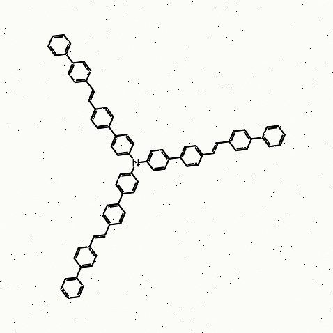 C(=C\c1ccc(-c2ccc(N(c3ccc(-c4ccc(/C=C/c5ccc(-c6ccccc6)cc5)cc4)cc3)c3ccc(-c4ccc(/C=C/c5ccc(-c6ccccc6)cc5)cc4)cc3)cc2)cc1)/c1ccc(-c2ccccc2)cc1